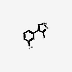 Cc1n[nH]cc1-c1cccc(C(C)(C)C)c1